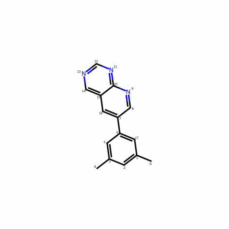 Cc1cc(C)cc(-c2cnc3ncncc3c2)c1